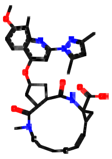 COc1ccc2c(OC3CC4C(=O)NC5(C(=O)O)CC5C=CCCCCN(C)C(=O)C4C3)cc(-n3nc(C)cc3C)nc2c1C